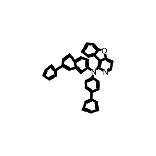 c1ccc(-c2ccc(N(c3ccc4ccc(-c5ccccc5)cc4c3)c3nccc4oc5ccccc5c34)cc2)cc1